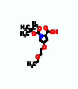 CCOCCO[C@@H]1C[C@@H](C(=O)O)N(C(=O)OC(C)(C)C)C1